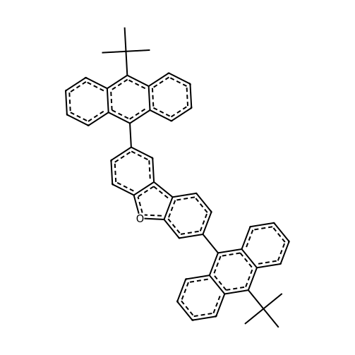 CC(C)(C)c1c2ccccc2c(-c2ccc3c(c2)oc2ccc(-c4c5ccccc5c(C(C)(C)C)c5ccccc45)cc23)c2ccccc12